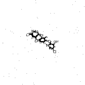 Cc1c(Oc2nnc(Cl)cc2O)cccc1Oc1nnc(Cl)cc1O